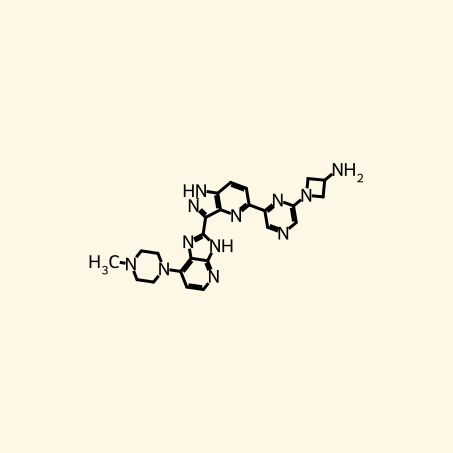 CN1CCN(c2ccnc3[nH]c(-c4n[nH]c5ccc(-c6cncc(N7CC(N)C7)n6)nc45)nc23)CC1